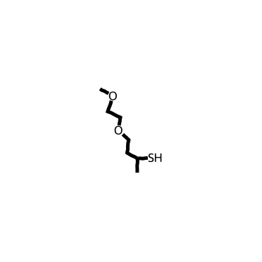 COCCOCCC(C)S